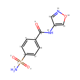 NS(=O)(=O)c1ccc(C(=O)Nc2cnoc2)cc1